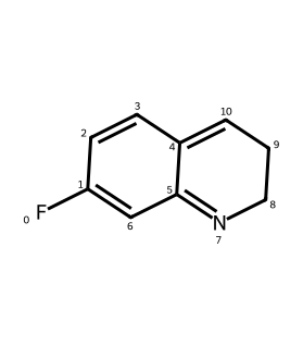 Fc1ccc2c(c1)=NCCC=2